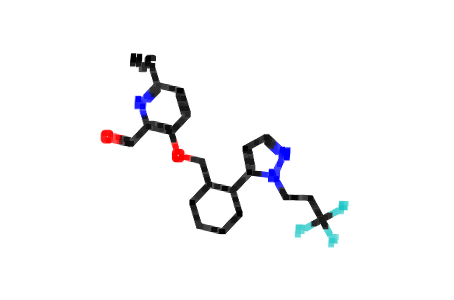 Cc1ccc(OCC2CCCCC2c2ccnn2CCC(F)(F)F)c(C=O)n1